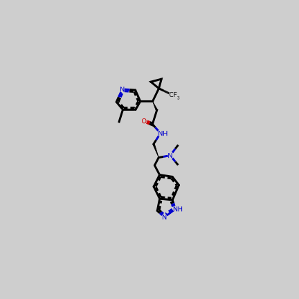 Cc1cncc([C@H](CC(=O)NC[C@H](Cc2ccc3[nH]ncc3c2)N(C)C)C2(C(F)(F)F)CC2)c1